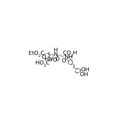 CCOC(=O)C(=O)CSCC(NC(=O)CCC(NC(=O)c1ccc(C=Cc2ccc(O)c(O)c2)cc1)C(=O)O)C(=O)NCC(=O)O